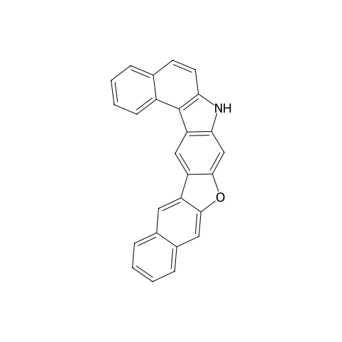 c1ccc2cc3c(cc2c1)oc1cc2[nH]c4ccc5ccccc5c4c2cc13